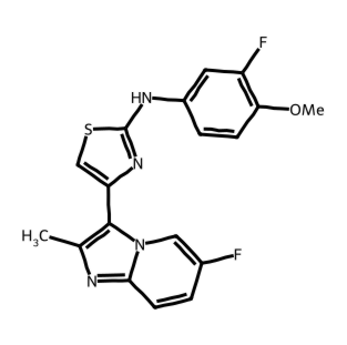 COc1ccc(Nc2nc(-c3c(C)nc4ccc(F)cn34)cs2)cc1F